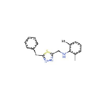 CCc1cccc(C)c1NCc1nnc(Cc2ccccc2)s1